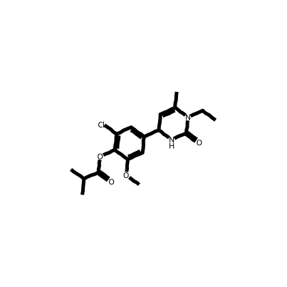 CCN1C(=O)NC(c2cc(Cl)c(OC(=O)C(C)C)c(OC)c2)C=C1C